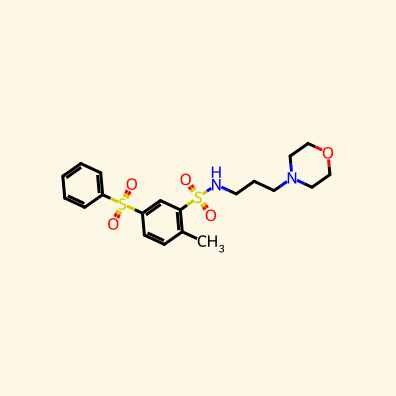 Cc1ccc(S(=O)(=O)c2ccccc2)cc1S(=O)(=O)NCCCN1CCOCC1